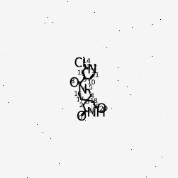 O=C1CC2(CCN(C(=O)c3ccnc(Cl)c3)CC2)CC(=O)N1